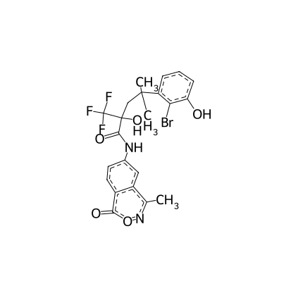 Cc1noc(=O)c2ccc(NC(=O)C(O)(CC(C)(C)c3cccc(O)c3Br)C(F)(F)F)cc12